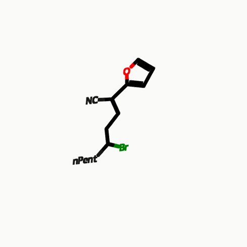 CCCCCC(Br)CCC(C#N)c1ccco1